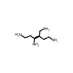 NCCC(N)=C(CN)CCN